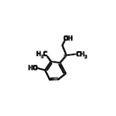 C[C](CO)c1cccc(O)c1C